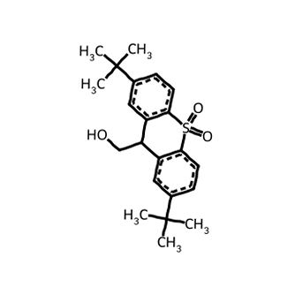 CC(C)(C)c1ccc2c(c1)C(CO)c1cc(C(C)(C)C)ccc1S2(=O)=O